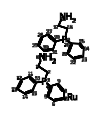 NCCP(c1ccccc1)c1ccccc1.NCCP(c1ccccc1)c1ccccc1.[Ru]